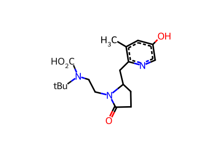 Cc1cc(O)cnc1CC1CCC(=O)N1CCN(C(=O)O)C(C)(C)C